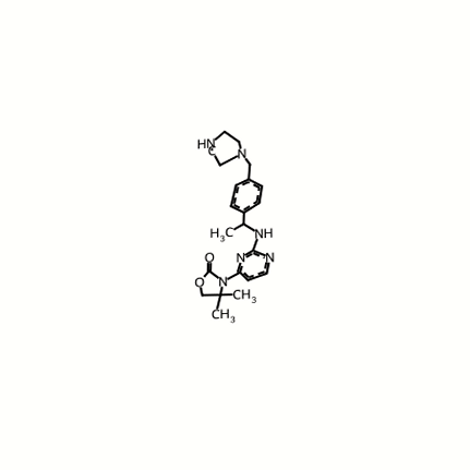 CC(Nc1nccc(N2C(=O)OCC2(C)C)n1)c1ccc(CN2CCNCC2)cc1